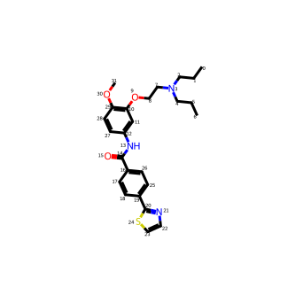 CCCN(CCC)CCOc1cc(NC(=O)c2ccc(-c3nccs3)cc2)ccc1OC